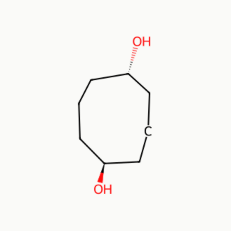 O[C@H]1CCC[C@H](O)CCC1